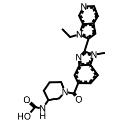 CCn1c(-c2nc3cc(C(=O)N4CCCC(NC(=O)O)C4)ccc3n2C)cc2ccncc21